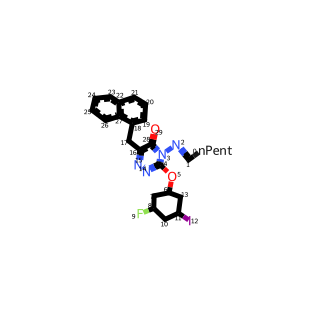 CCCCCC=Nn1c(OC2CC(F)CC(I)C2)nnc(Cc2cccc3ccccc23)c1=O